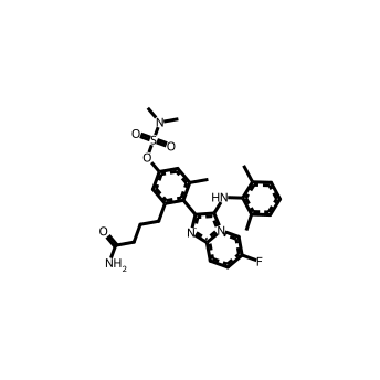 Cc1cccc(C)c1Nc1c(-c2c(C)cc(OS(=O)(=O)N(C)C)cc2CCCC(N)=O)nc2ccc(F)cn12